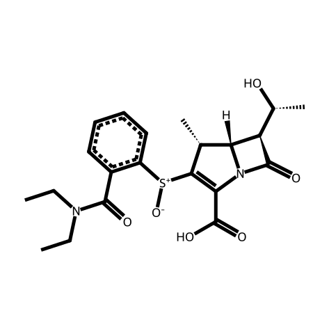 CCN(CC)C(=O)c1ccccc1[S+]([O-])C1=C(C(=O)O)N2C(=O)[C@H]([C@@H](C)O)[C@H]2[C@H]1C